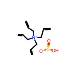 C=CC[N+](CC=C)(CC=C)CC=C.O=S([O-])O